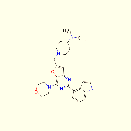 CN(C)C1CCN(Cc2cc3nc(-c4cccc5[nH]ccc45)nc(N4CCOCC4)c3o2)CC1